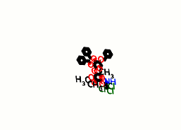 C[C@H]1O[C@@H](OC(=N)C(Cl)(Cl)Cl)C2OC(C)(C)OC2[C@H]1O[C@@H]1OC[C@@H](OCc2ccccc2)C(OCc2ccccc2)C1OCc1ccccc1